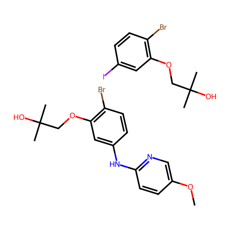 CC(C)(O)COc1cc(I)ccc1Br.COc1ccc(Nc2ccc(Br)c(OCC(C)(C)O)c2)nc1